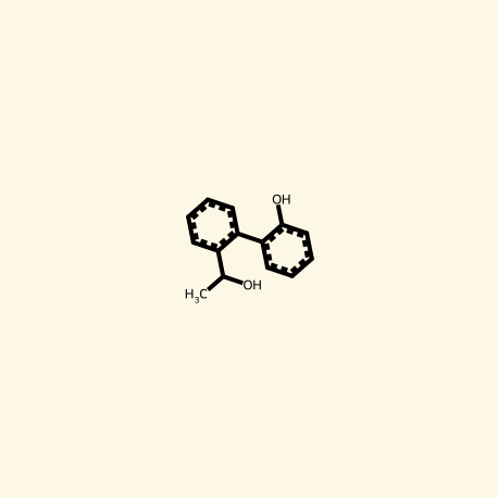 CC(O)c1ccccc1-c1ccccc1O